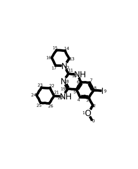 COCc1cc2c(cc1I)NC(N1CCCCC1)N=C2NC1CCCCC1